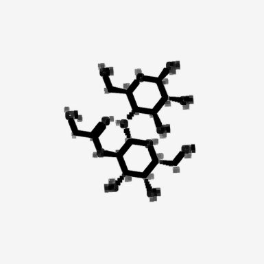 CCC(=O)O[C@H]1[C@H](O[C@H]2[C@H](O)[C@@H](O)[C@H](O)O[C@@H]2CO)O[C@H](CO)[C@H](O)[C@@H]1O